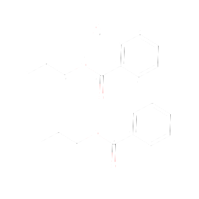 CCCOC(=O)c1ccccc1.CCCOC(=O)c1ccccc1.O